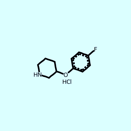 Cl.Fc1ccc(OC2CCCNC2)cc1